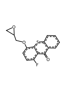 O=c1c2ccccc2sc2c(OCC3CO3)ccc(F)c12